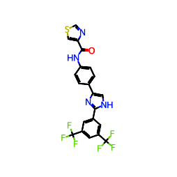 O=C(Nc1ccc(-c2c[nH]c(-c3cc(C(F)(F)F)cc(C(F)(F)F)c3)n2)cc1)c1cscn1